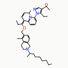 CCCCCCCC(C)N1CCc2c(ccc(CO/C(CC)=C(/C=C\C(C)C)c3cccc(-n4ncc(C(C)=O)c4CC)n3)c2C)C1